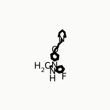 C=C1Nc2cc(F)ccc2N1c1ccc(OCCCN2CCCCC2)cc1